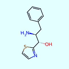 N[C@@H](Cc1ccccc1)[C@H](O)c1nccs1